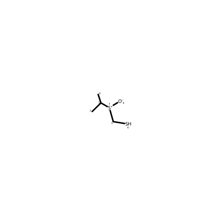 CC(C)[S+]([O-])CS